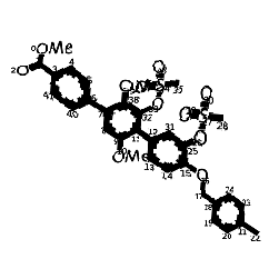 COC(=O)c1ccc(-c2cc(OC)c(-c3ccc(OCc4ccc(C)cc4)c(OS(C)(=O)=O)c3)c(OS(C)(=O)=O)c2OC)cc1